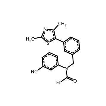 CCC(=O)N(Cc1cccc(-c2sc(C)nc2C)c1)c1cccc(C#N)c1